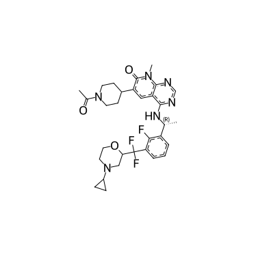 CC(=O)N1CCC(c2cc3c(N[C@H](C)c4cccc(C(F)(F)C5CN(C6CC6)CCO5)c4F)ncnc3n(C)c2=O)CC1